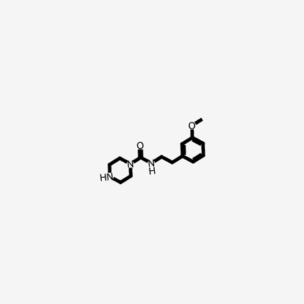 COc1cccc(CCNC(=O)N2CCNCC2)c1